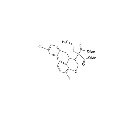 C=CCC(C(=O)OC)(C(=O)OC)C1COc2c(F)ccc(F)c2C1Cc1ccc(Cl)cc1